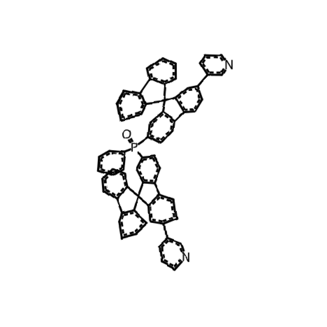 O=P(c1ccccc1)(c1ccc2c(c1)C1(c3ccccc3-c3ccccc31)c1cc(-c3cccnc3)ccc1-2)c1ccc2c(c1)C1(c3ccccc3-c3ccccc31)c1cc(-c3cccnc3)ccc1-2